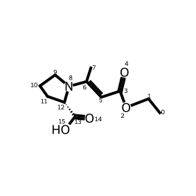 CCOC(=O)C=C(C)N1CCC[C@H]1C(=O)O